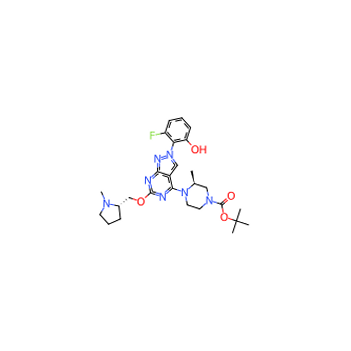 C[C@H]1CN(C(=O)OC(C)(C)C)CCN1c1nc(OC[C@@H]2CCCN2C)nc2nn(-c3c(O)cccc3F)cc12